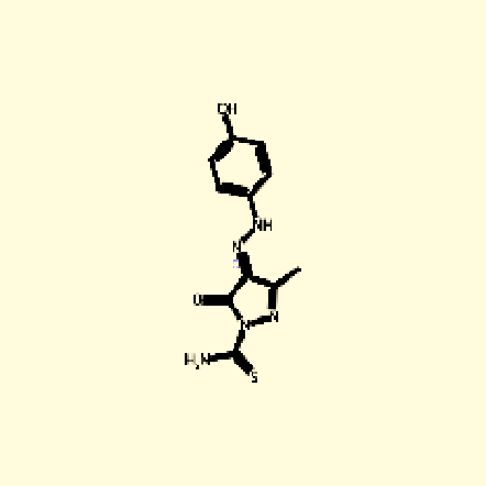 CC1=NN(C(N)=S)C(=O)/C1=N/Nc1ccc(O)cc1